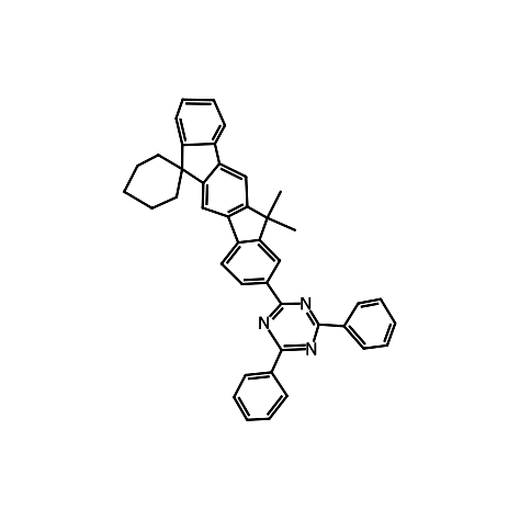 CC1(C)c2cc(-c3nc(-c4ccccc4)nc(-c4ccccc4)n3)ccc2-c2cc3c(cc21)-c1ccccc1C31CCCCC1